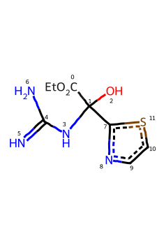 CCOC(=O)C(O)(NC(=N)N)c1nccs1